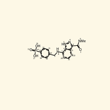 CNC(=O)c1n[nH]c2c(NCc3ccc(P(=O)(O)O)cc3)ncnc12